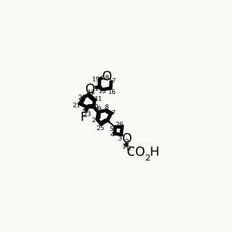 O=C(O)CO[C@H]1C[C@@H](c2ccc(-c3cc(OC4CCCOC4)ccc3F)cc2)C1